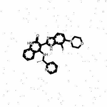 C[C@H](Nc1c(-c2nc3ccc(N4CCOCC4)c(F)c3[nH]2)c(=O)[nH]c2ccccc12)c1ccccn1